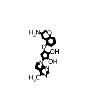 Cc1ncnc2c1ccn2C1CC(Oc2cccc3c2CC(N)CO3)C(O)C1O